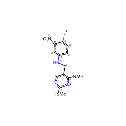 CNc1nc(SC)ncc1CNc1ccc(F)c([N+](=O)[O-])c1